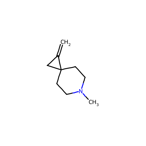 C=C1CC12CCN(C)CC2